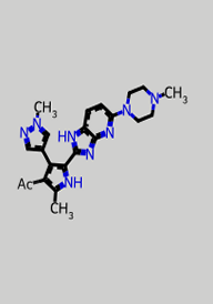 CC(=O)c1c(C)[nH]c(-c2nc3nc(N4CCN(C)CC4)ccc3[nH]2)c1-c1cnn(C)c1